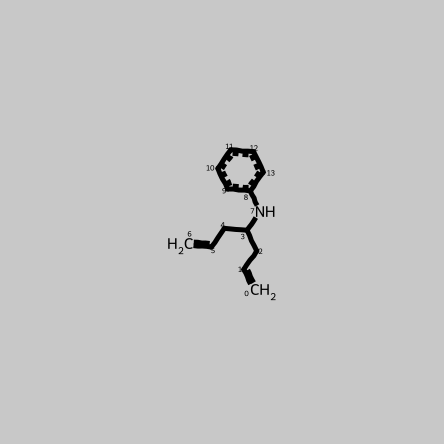 C=CCC(CC=C)Nc1ccccc1